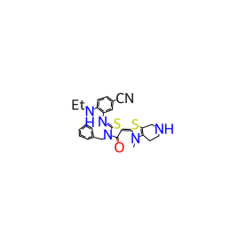 CCNc1ccc(C#N)cc1N=C1SC(=C2SC3=C(CCNC3)N2C)C(=O)N1Cc1ccccc1